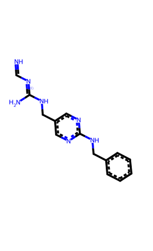 N=C/N=C(\N)NCc1cnc(NCc2ccccc2)nc1